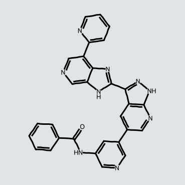 O=C(Nc1cncc(-c2cnc3[nH]nc(-c4nc5c(-c6ccccn6)cncc5[nH]4)c3c2)c1)c1ccccc1